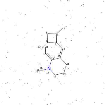 C/C=C1\C(=C/C2C(C)C[C@H]2C)CCCN1C(C)C